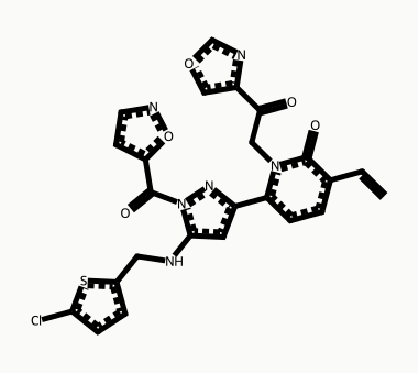 C=Cc1ccc(-c2cc(NCc3ccc(Cl)s3)n(C(=O)c3ccno3)n2)n(CC(=O)c2cocn2)c1=O